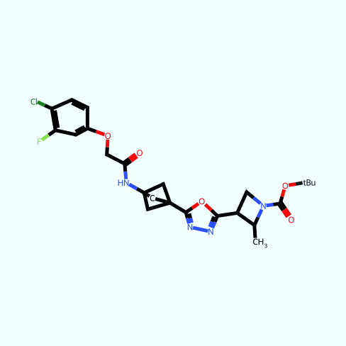 CC1C(c2nnc(C34CC(NC(=O)COc5ccc(Cl)c(F)c5)(C3)C4)o2)CN1C(=O)OC(C)(C)C